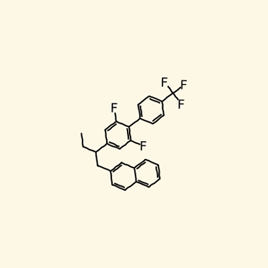 CCC(Cc1ccc2ccccc2c1)c1cc(F)c(-c2ccc(C(F)(F)F)cc2)c(F)c1